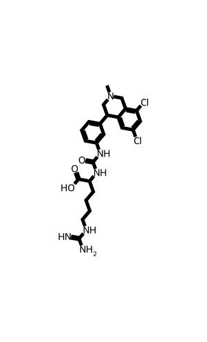 CN1Cc2c(Cl)cc(Cl)cc2C(c2cccc(NC(=O)NC(CCCCNC(=N)N)C(=O)O)c2)C1